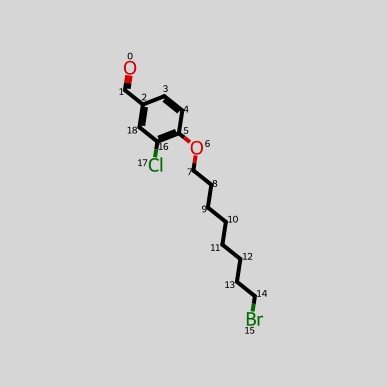 O=Cc1ccc(OCCCCCCCCBr)c(Cl)c1